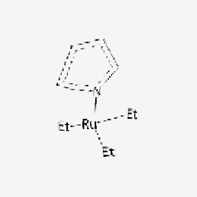 C[CH2][Ru]([CH2]C)([CH2]C)[n]1cccc1